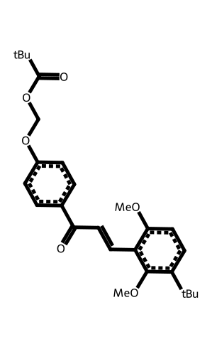 COc1ccc(C(C)(C)C)c(OC)c1C=CC(=O)c1ccc(OCOC(=O)C(C)(C)C)cc1